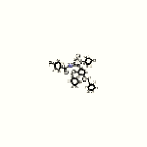 O=C(/C=C/[C@H]1SC(=O)N(c2ccccc2)[C@@H]1c1ccc(OCc2ccccc2)cc1OCc1ccccc1)c1ccc(F)cc1